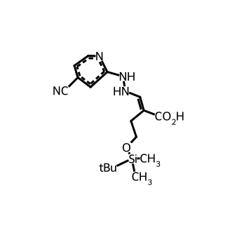 CC(C)(C)[Si](C)(C)OCCC(=CNNc1cc(C#N)ccn1)C(=O)O